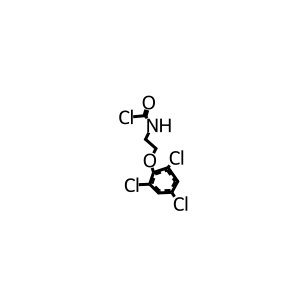 O=C(Cl)NCCOc1c(Cl)cc(Cl)cc1Cl